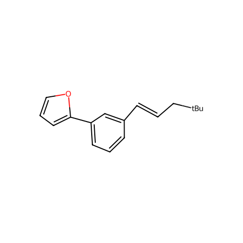 CC(C)(C)C/C=C/c1cccc(-c2ccco2)c1